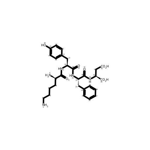 NCCCC[C@@H](N)C(=O)N[C@@H](Cc1ccc(O)cc1)C(=O)N[C@@H](Cc1ccccc1)C(=O)N[C@@H](CC(=O)O)C(=O)O